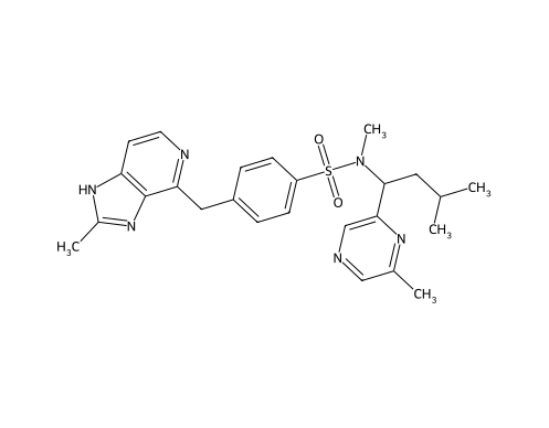 Cc1cncc(C(CC(C)C)N(C)S(=O)(=O)c2ccc(Cc3nccc4[nH]c(C)nc34)cc2)n1